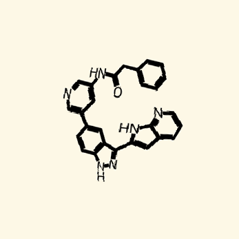 O=C(Cc1ccccc1)Nc1cncc(-c2ccc3[nH]nc(-c4cc5cccnc5[nH]4)c3c2)c1